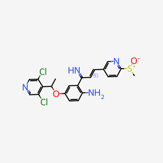 CC(Oc1ccc(N)c(C(=N)/C=C/c2ccc([S+](C)[O-])nc2)c1)c1c(Cl)cncc1Cl